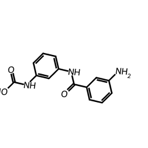 Nc1cccc(C(=O)Nc2cccc(NC(=O)O)c2)c1